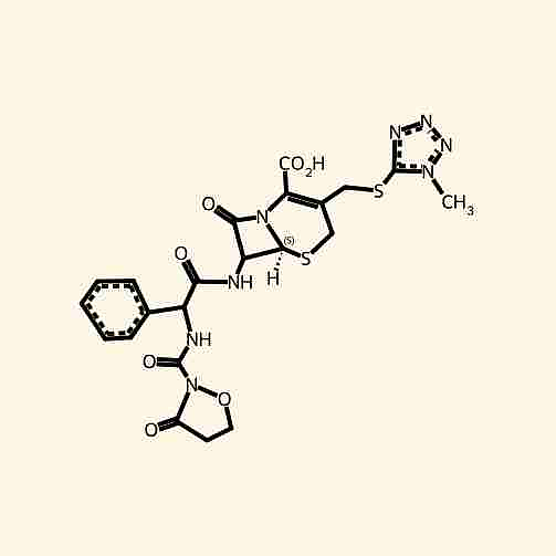 Cn1nnnc1SCC1=C(C(=O)O)N2C(=O)C(NC(=O)C(NC(=O)N3OCCC3=O)c3ccccc3)[C@@H]2SC1